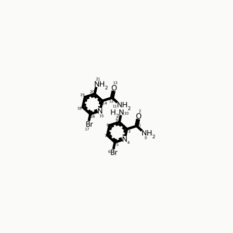 NC(=O)c1nc(Br)ccc1N.NC(=O)c1nc(Br)ccc1N